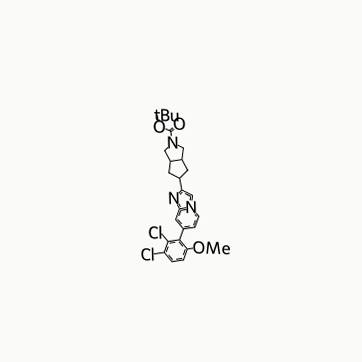 COc1ccc(Cl)c(Cl)c1-c1ccn2cc(C3CC4CN(C(=O)OC(C)(C)C)CC4C3)nc2c1